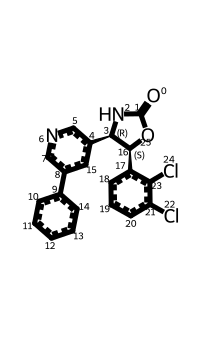 O=C1N[C@H](c2cncc(-c3ccccc3)c2)[C@H](c2cccc(Cl)c2Cl)O1